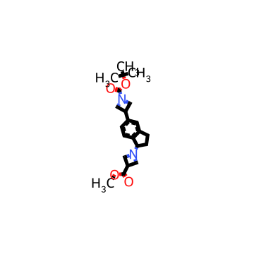 COC(=O)C1CN(C2CCc3cc(C4CN(C(=O)OC(C)(C)C)C4)ccc32)C1